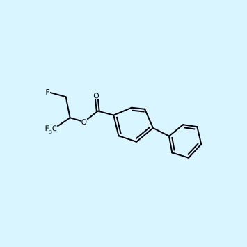 O=C(OC(CF)C(F)(F)F)c1ccc(-c2ccccc2)cc1